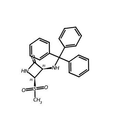 CS(=O)(=O)[C@H]1NC(=O)[C@H]1NC(c1ccccc1)(c1ccccc1)c1ccccc1